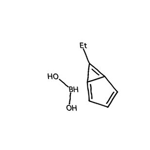 CCc1c2cccc1-2.OBO